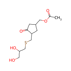 CC(=O)OCC1CC(=O)C(CSCC(O)CO)C1